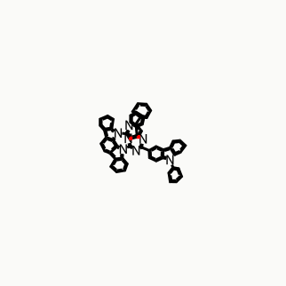 c1ccc(-c2cccc(-n3c4ccccc4c4ccc5c6ccccc6n(-c6nc(-c7ccccc7)nc(-c7ccc8c(c7)c7ccccc7n8-c7ccccc7)n6)c5c43)n2)cc1